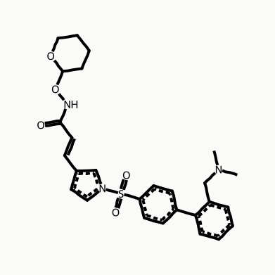 CN(C)Cc1ccccc1-c1ccc(S(=O)(=O)n2ccc(C=CC(=O)NOC3CCCCO3)c2)cc1